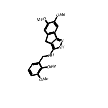 COc1cc2c(cc1OC)-c1n[nH]c(NCc3cccc(OC)c3OC)c1C2